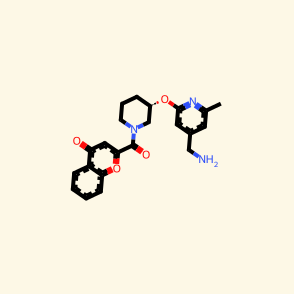 Cc1cc(CN)cc(O[C@H]2CCCN(C(=O)c3cc(=O)c4ccccc4o3)C2)n1